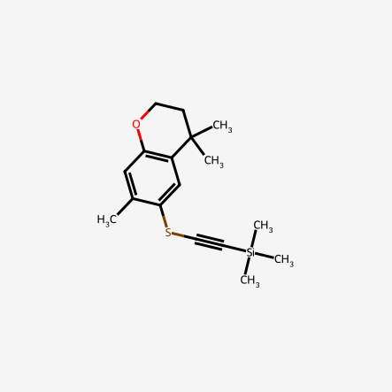 Cc1cc2c(cc1SC#C[Si](C)(C)C)C(C)(C)CCO2